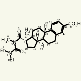 CCN(CC)C(=O)N(C)C(=O)[C@H]1CC[C@H]2[C@@H]3CCc4cc(C(=O)O)ccc4[C@H]3CC[C@]12C